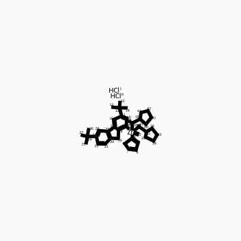 Cl.Cl.[CH2]=[Zr]([C]1=CC=CC1)([c]1cc(C(C)(C)C)cc2c1Cc1ccc(C(C)(C)C)cc1-2)([CH](C)C1CCCC1)[CH](C)C1CCCC1